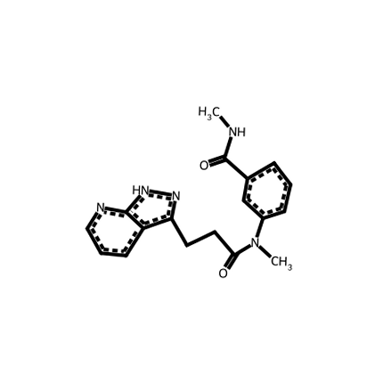 CNC(=O)c1cccc(N(C)C(=O)CCc2n[nH]c3ncccc23)c1